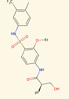 CCOc1cc(NC(=O)[C@@H](CO)C(C)C)ccc1S(=O)(=O)Nc1ccc(C)c(C(F)(F)F)c1